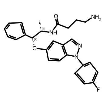 C[C@H](NC(=O)CCCN)[C@H](Oc1ccc2c(cnn2-c2ccc(F)cc2)c1)c1ccccc1